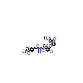 CCN(C)C(=O)c1ccc(C=CC(=O)NCC(=O)N(C)c2ccc(Cl)c(COc3cccn4c(Cl)c(C)nc34)c2Cl)cc1